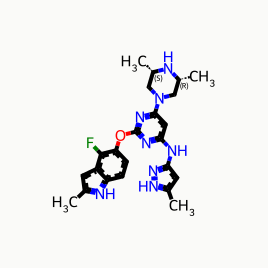 Cc1cc(Nc2cc(N3C[C@@H](C)N[C@@H](C)C3)nc(Oc3ccc4[nH]c(C)cc4c3F)n2)n[nH]1